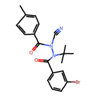 Cc1ccc(C(=O)N(C#N)N(C(=O)c2cccc(Br)c2)C(C)(C)C)cc1